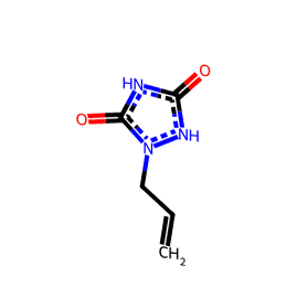 C=CCn1[nH]c(=O)[nH]c1=O